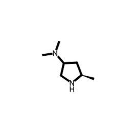 C[C@@H]1CC(N(C)C)CN1